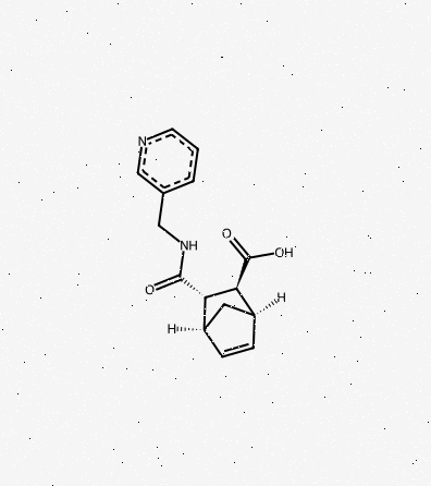 O=C(NCc1cccnc1)[C@@H]1[C@@H](C(=O)O)[C@H]2C=C[C@@H]1C2